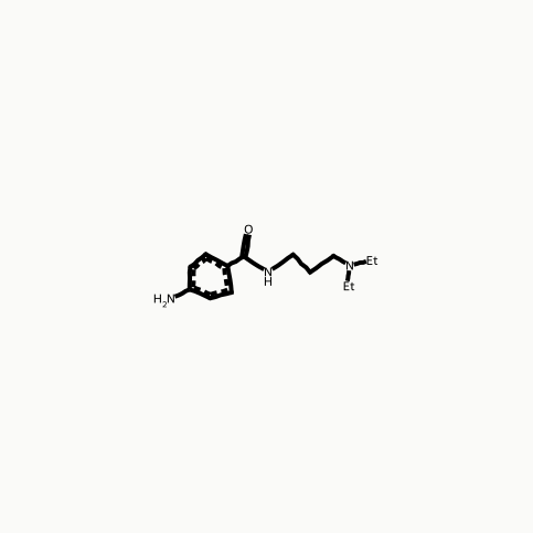 CCN(CC)CCCNC(=O)c1ccc(N)cc1